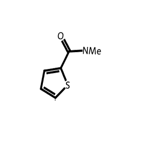 CNC(=O)c1cc[c]s1